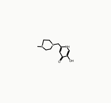 CN1CCN(Cc2cc(=O)c(O)c[nH]2)CC1